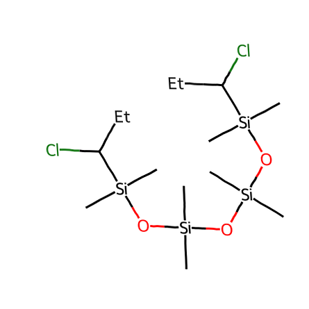 CCC(Cl)[Si](C)(C)O[Si](C)(C)O[Si](C)(C)O[Si](C)(C)C(Cl)CC